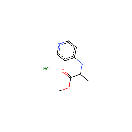 COC(=O)C(C)Nc1ccncc1.Cl